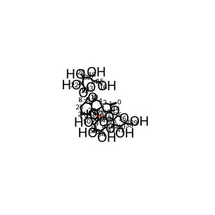 C=C1C[C@]2(CCC3[C@](C)(C(=O)OC4OC(CO)C(O)C(O)C4O)CCC[C@@]3(C)[C@@H]2CC)[C@@H](C)[C@]12OC1OC(CO)C(O)C(OC3OC(CO)C(O)C(O)C3O)C1O2